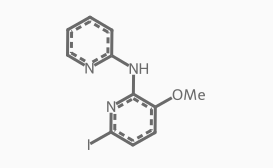 COc1ccc(I)nc1Nc1ccccn1